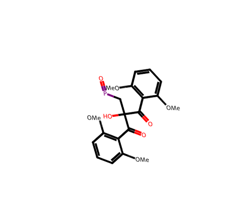 COc1cccc(OC)c1C(=O)C(O)(CP=O)C(=O)c1c(OC)cccc1OC